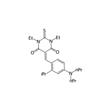 CCCN(CCC)c1ccc(C=C2C(=O)N(CC)C(=S)N(CC)C2=O)c(C(C)C)c1